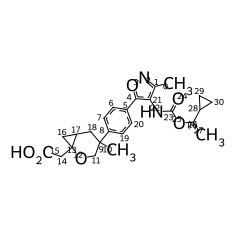 Cc1noc(-c2ccc(C3(C)COC4(CC(=O)O)CC4C3)cc2)c1NC(=O)O[C@H](C)C1CC1